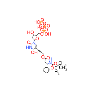 CC(C)(C)OC(=O)NC(CC(=O)OCC#CC1=CN(C2CC(O)C(COP(=O)(O)OP(=O)(O)OP(=O)(O)O)O2)C(=O)NC1O)c1ccccc1